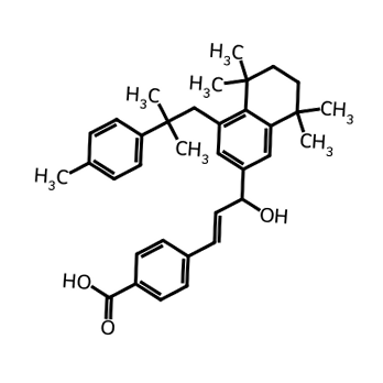 Cc1ccc(C(C)(C)Cc2cc(C(O)C=Cc3ccc(C(=O)O)cc3)cc3c2C(C)(C)CCC3(C)C)cc1